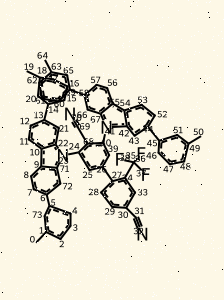 Cc1cccc(-c2ccc3c4ccc(-c5cccc(C)c5)cc4n(-c4cc(-c5ccc(C#N)cc5C(F)(F)F)cc(-n5c6cc(-c7cccc(C)c7)ccc6c6ccc(-c7cccc(C)c7)cc65)c4C#N)c3c2)c1